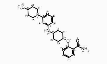 NC(=O)c1cccnc1O[C@H]1CC[C@H](Nc2ccnc(N3CCC(C(F)(F)F)CC3)n2)CC1